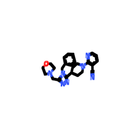 N#Cc1cccnc1N1CCC(c2nnc(CN3CCOCC3)n2Cc2ccccc2)CC1